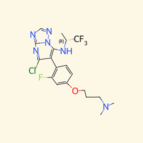 C[C@@H](Nc1c(-c2ccc(OCCCN(C)C)cc2F)c(Cl)nc2ncnn12)C(F)(F)F